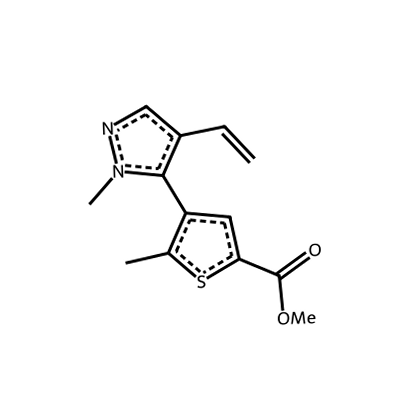 C=Cc1cnn(C)c1-c1cc(C(=O)OC)sc1C